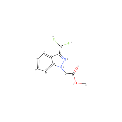 COC(=O)Cn1nc(C(F)F)c2ccccc21